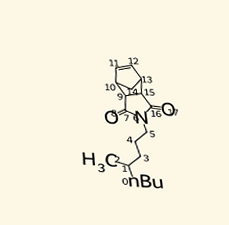 CCCCC(C)CCCN1C(=O)C2C3C=CC(C3)C2C1=O